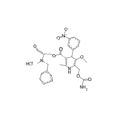 COC1=C(COC(N)=O)NC(C)=C(C(=O)OCC(=C=O)N(C)Cc2ccccc2)C1c1cccc([N+](=O)[O-])c1.Cl